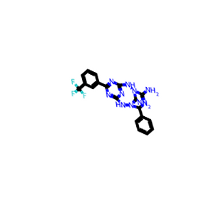 NC1=NC(c2ccccc2)N2Nc3nc(nc(-c4cccc(C(F)(F)F)c4)n3)NN1C2N